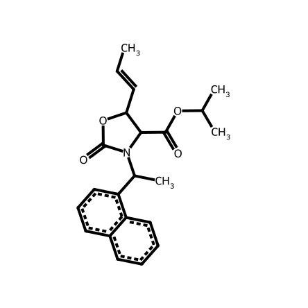 CC=CC1OC(=O)N(C(C)c2cccc3ccccc23)C1C(=O)OC(C)C